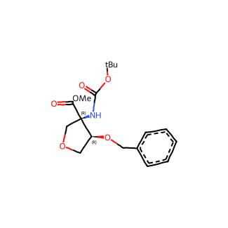 COC(=O)[C@@]1(NC(=O)OC(C)(C)C)COC[C@@H]1OCc1ccccc1